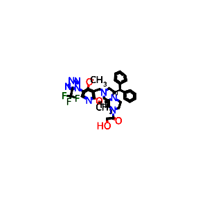 COc1ncc(-n2nnnc2C(F)(F)F)c(OC)c1CN1C[C@H]2CN(C(=O)CO)CCN2[C@H](C(c2ccccc2)c2ccccc2)C1